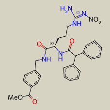 COC(=O)c1ccc(CNC(=O)[C@@H](CCCN/C(N)=N\[N+](=O)[O-])NC(=O)C(c2ccccc2)c2ccccc2)cc1